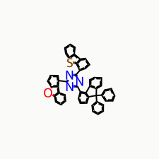 c1ccc(C2(c3ccccc3)c3ccccc3-c3c(-c4nc(-c5cccc6c5sc5ccccc56)nc(-c5cccc6oc7ccccc7c56)n4)cccc32)cc1